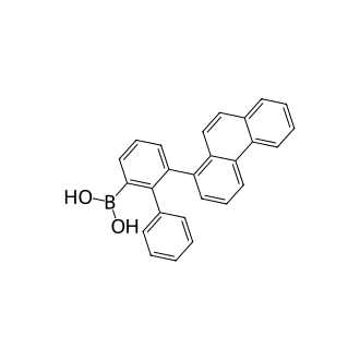 OB(O)c1cccc(-c2cccc3c2ccc2ccccc23)c1-c1ccccc1